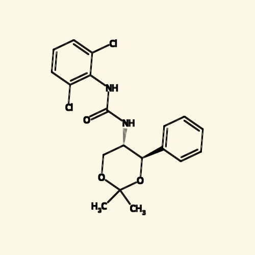 CC1(C)OC[C@H](NC(=O)Nc2c(Cl)cccc2Cl)[C@@H](c2ccccc2)O1